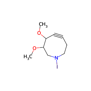 COC1C#CCCN(I)CC1OC